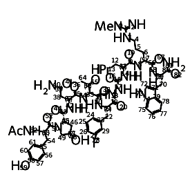 CNC(=N)NCCC[C@H](NC(=O)[C@H](CC(C)C)NC(=O)NNC(=O)[C@H](Cc1cccc(F)c1)NC(=O)C(NC(=O)[C@H](CC(N)=O)NC(=O)[C@@H]1C[C@@H](O)CN1C(=O)[C@@H](Cc1ccc(O)cc1)NC(C)=O)[C@@H](C)O)C(=O)N[C@@H](Cc1c[nH]c2ccccc12)C(N)=O